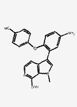 COc1nccc2c(-c3cc(N)ccc3Oc3ccc(C#N)cc3)cn(C)c12